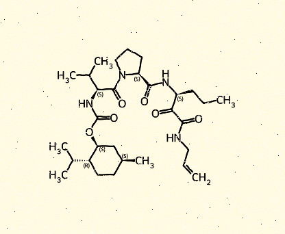 C=CCNC(=O)C(=O)[C@H](CCC)NC(=O)[C@@H]1CCCN1C(=O)[C@@H](NC(=O)O[C@H]1C[C@@H](C)CC[C@@H]1C(C)C)C(C)C